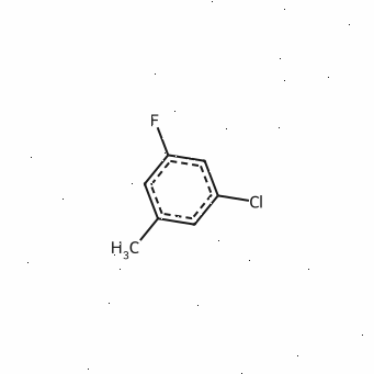 Cc1cc(F)cc(Cl)c1